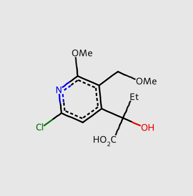 CCC(O)(C(=O)O)c1cc(Cl)nc(OC)c1COC